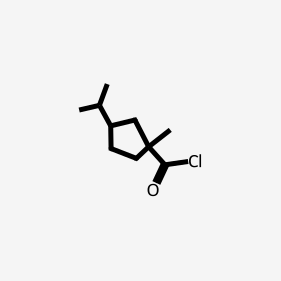 CC(C)C1CCC(C)(C(=O)Cl)C1